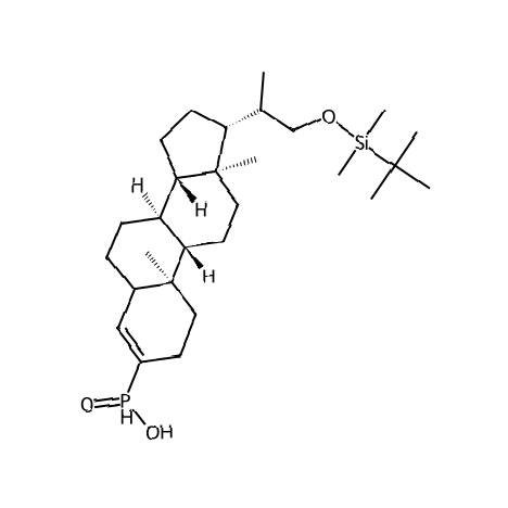 CC(CO[Si](C)(C)C(C)(C)C)[C@H]1CC[C@H]2[C@@H]3CCC4C=C([PH](=O)O)CC[C@]4(C)[C@H]3CC[C@]12C